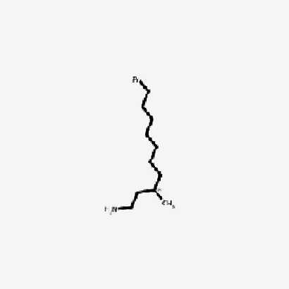 CC(C)CCCCCCC[C@@H](C)CCN